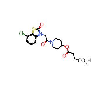 O=C(O)CCC(=O)OC1CCN(C(=O)Cn2c(=O)sc3c(Cl)cccc32)CC1